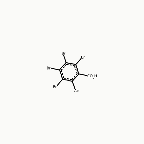 CC(=O)c1c(Br)c(Br)c(Br)c(Br)c1C(=O)O